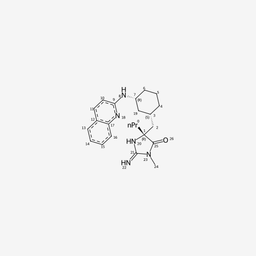 CCC[C@]1(C[C@H]2CCC[C@@H](Nc3ccc4ccccc4n3)C2)NC(=N)N(C)C1=O